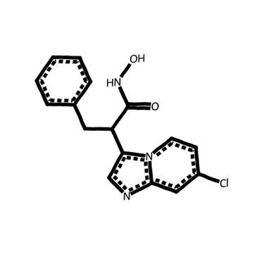 O=C(NO)C(Cc1ccccc1)c1cnc2cc(Cl)ccn12